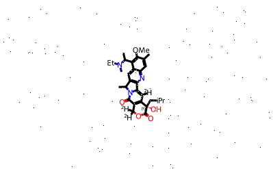 [2H]c1c2c(c(=O)n3c1-c1nc4cc(C)c(OC)c(C(C)N(C)CC)c4cc1C3C)C([2H])([2H])OC(=O)[C@]2(O)CC(C)C